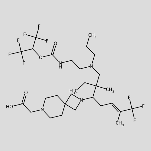 CCCN(CCNC(=O)OC(C(F)(F)F)C(F)(F)F)CC(C)(CC)C(C/C=C(\C)C(F)(F)F)N1CC2(CCN(CC(=O)O)CC2)C1